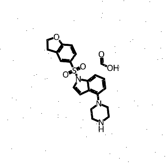 O=CO.O=S(=O)(c1ccc2c(c1)CCO2)n1ccc2c(N3CCNCC3)cccc21